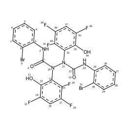 O=C(Nc1ccccc1Br)N(c1c(O)c(F)cc(F)c1F)N(C(=O)Nc1ccccc1Br)c1c(O)c(F)cc(F)c1F